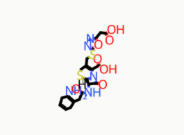 NC1=C(CC(=O)NC2C(=O)N3C(C(=O)O)=C(CSc4nnc(CC(=O)O)o4)CS[C@@H]23)CC=CC1